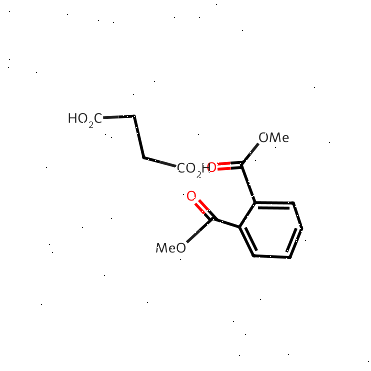 COC(=O)c1ccccc1C(=O)OC.O=C(O)CCC(=O)O